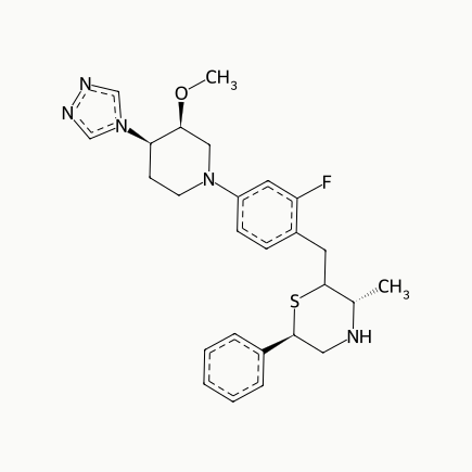 CO[C@H]1CN(c2ccc(CC3S[C@H](c4ccccc4)CN[C@H]3C)c(F)c2)CC[C@H]1n1cnnc1